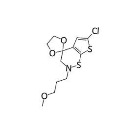 COCCCN1CC2(OCCO2)c2cc(Cl)sc2S1